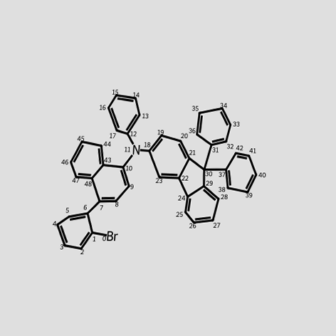 Brc1ccccc1-c1ccc(N(c2ccccc2)c2ccc3c(c2)-c2ccccc2C3(c2ccccc2)c2ccccc2)c2ccccc12